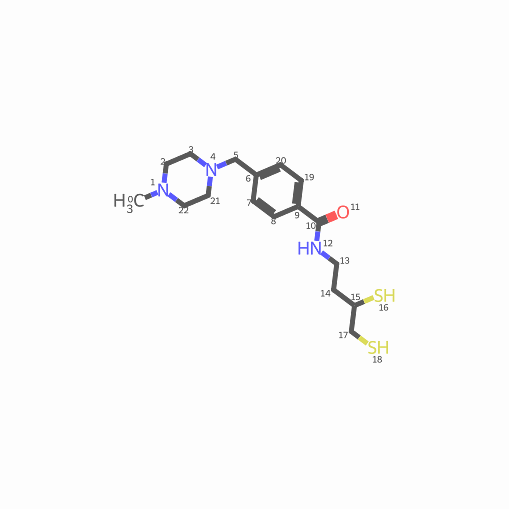 CN1CCN(Cc2ccc(C(=O)NCCC(S)CS)cc2)CC1